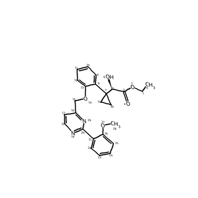 CCOC(=O)[C@H](O)C1(c2ccccc2OCc2ccnc(-c3ccccc3OC)n2)CC1